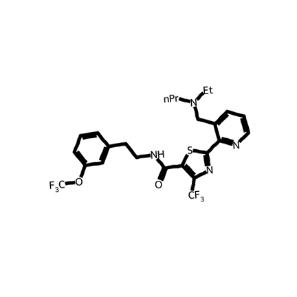 CCCN(CC)Cc1cccnc1-c1nc(C(F)(F)F)c(C(=O)NCCc2cccc(OC(F)(F)F)c2)s1